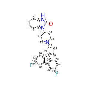 O=c1[nH]c2ccccc2n1C1CCN(C2CCC(c3ccc(F)cc3)(c3ccc(F)cc3)C2)CC1